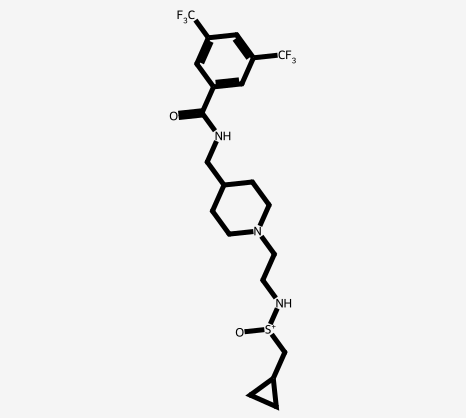 O=C(NCC1CCN(CCN[S+]([O-])CC2CC2)CC1)c1cc(C(F)(F)F)cc(C(F)(F)F)c1